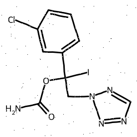 NC(=O)OC(I)(Cn1ncnn1)c1cccc(Cl)c1